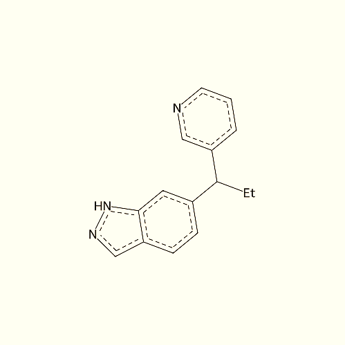 [CH2]CC(c1cccnc1)c1ccc2cn[nH]c2c1